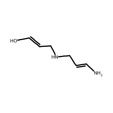 NC=CCNCC=CO